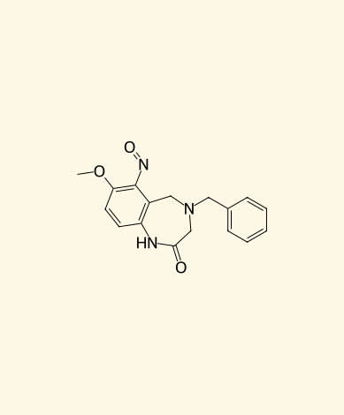 COc1ccc2c(c1N=O)CN(Cc1ccccc1)CC(=O)N2